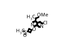 COCC(C)c1cnc(OC2CC([S+](C)[O-])C2)c2cnc(Cl)cc12